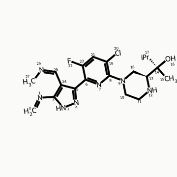 C=Nc1[nH]nc(-c2nc(N3CCN[C@H]([C@](C)(O)C(C)C)C3)c(Cl)cc2F)c1/C=N\C